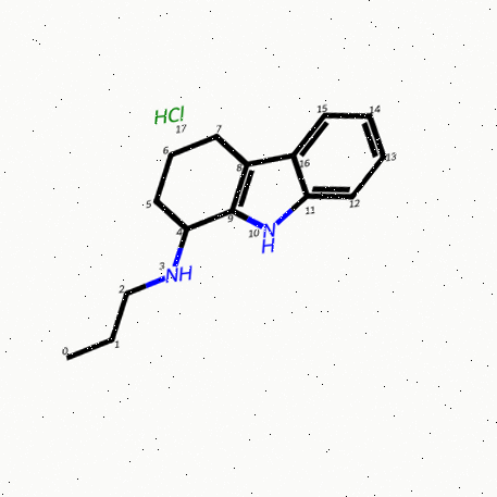 CCCNC1CCCc2c1[nH]c1ccccc21.Cl